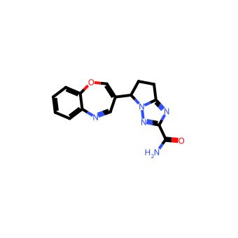 NC(=O)c1nc2n(n1)C(C1=COc3ccccc3N=C1)CC2